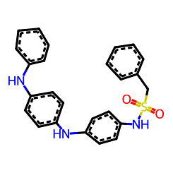 O=S(=O)(Cc1ccccc1)Nc1ccc(Nc2ccc(Nc3ccccc3)cc2)cc1